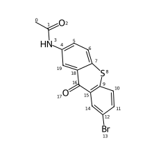 CC(=O)Nc1ccc2sc3ccc(Br)cc3c(=O)c2c1